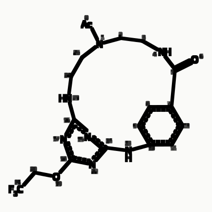 CC(=O)N1CCNC(=O)c2ccc(cc2)Nc2nc(nc(OCC(F)(F)F)n2)NCC1